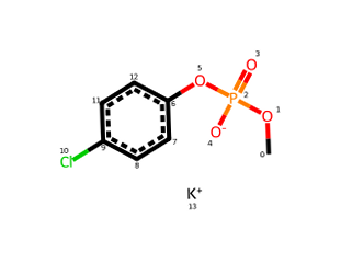 COP(=O)([O-])Oc1ccc(Cl)cc1.[K+]